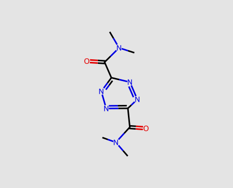 CN(C)C(=O)c1nnc(C(=O)N(C)C)nn1